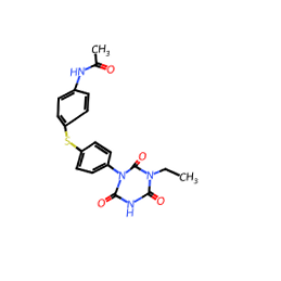 CCn1c(=O)[nH]c(=O)n(-c2ccc(Sc3ccc(NC(C)=O)cc3)cc2)c1=O